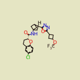 O=C(NC12CC(C1)[C@H](c1nnc(C3CC(OC(F)(F)F)C3)o1)C2)[C@H]1CCc2cc(Cl)ccc2O1